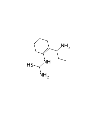 CCC(N)C1=C(NC(N)S)CCCC1